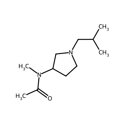 CC(=O)N(C)C1CCN(CC(C)C)C1